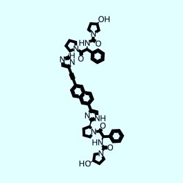 O=C(N[C@@H](C(=O)N1CCC[C@H]1c1nc(-c2ccc3cc(C#Cc4cnc([C@@H]5CCCN5C(=O)[C@H](NC(=O)N5CC[C@H](O)C5)c5ccccc5)[nH]4)ccc3c2)c[nH]1)c1ccccc1)N1CC[C@H](O)C1